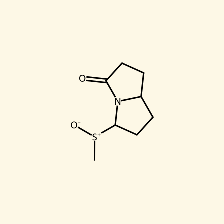 C[S+]([O-])C1CCC2CCC(=O)N21